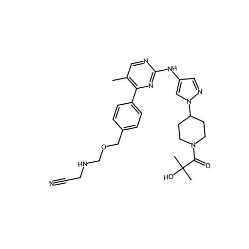 Cc1cnc(Nc2cnn(C3CCN(C(=O)C(C)(C)O)CC3)c2)nc1-c1ccc(COCNCC#N)cc1